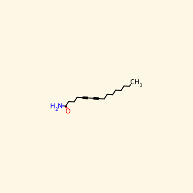 CCCCCCCCC#CC#CCCCC(N)=O